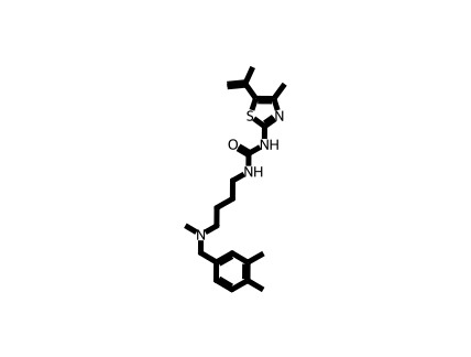 C=C(C)c1sc(NC(=O)NCCCCN(C)Cc2ccc(C)c(C)c2)nc1C